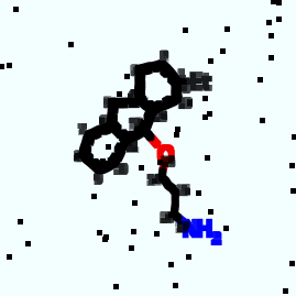 CCc1ccc2cc3ccccc3c(OCCCN)c2c1